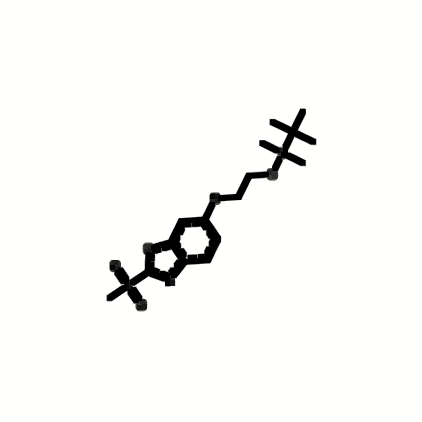 CC(C)(C)[Si](C)(C)OCCOc1ccc2nc(S(C)(=O)=O)oc2c1